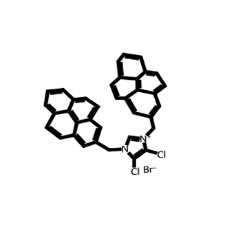 Clc1c(Cl)[n+](Cc2cc3ccc4cccc5ccc(c2)c3c45)cn1Cc1cc2ccc3cccc4ccc(c1)c2c34.[Br-]